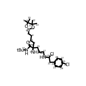 CC(=O)NC(CCCCB1OC(C)(C)C(C)(C)O1)(CCCNC(Cl)Cc1ccc(Cl)cc1)C(=O)NC(C)(C)C